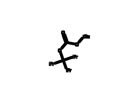 CC(C)[Si](OC(=O)OC(C)(C)C)(C(C)C)C(C)C